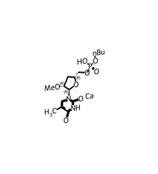 CCCCOP(=O)(O)OC[C@H]1C[C@@H](OC)[C@H](n2cc(C)c(=O)[nH]c2=O)O1.[Ca]